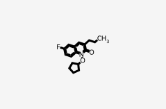 CCCc1cc2cc(F)ccc2n(OC2CCCC2)c1=O